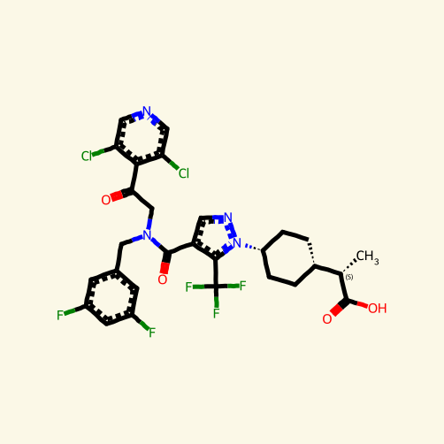 C[C@H](C(=O)O)[C@H]1CC[C@@H](n2ncc(C(=O)N(CC(=O)c3c(Cl)cncc3Cl)Cc3cc(F)cc(F)c3)c2C(F)(F)F)CC1